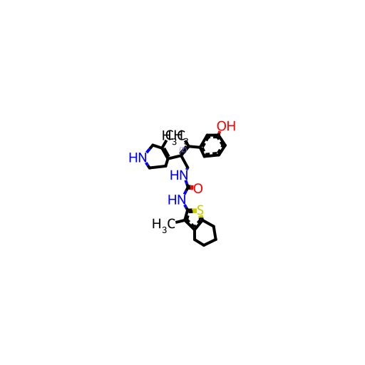 CC1=C(/C(CNC(=O)Nc2sc3c(c2C)CCCC3)=C(\C)c2cccc(O)c2)CCNC1